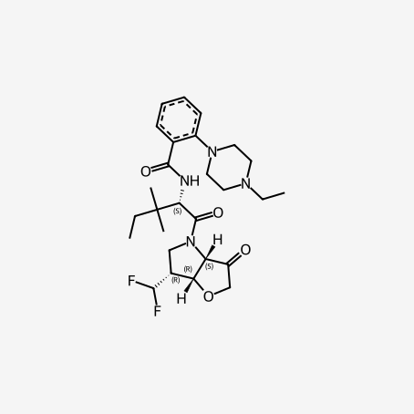 CCN1CCN(c2ccccc2C(=O)N[C@H](C(=O)N2C[C@@H](C(F)F)[C@H]3OCC(=O)[C@H]32)C(C)(C)CC)CC1